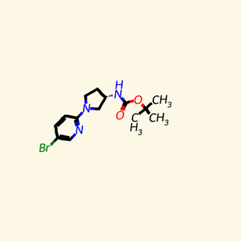 CC(C)(C)OC(=O)N[C@H]1CCN(c2ccc(Br)cn2)C1